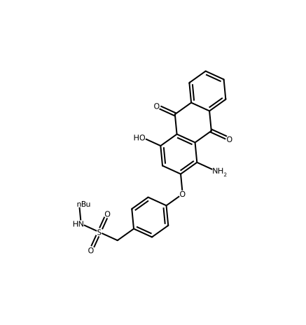 CCCCNS(=O)(=O)Cc1ccc(Oc2cc(O)c3c(c2N)C(=O)c2ccccc2C3=O)cc1